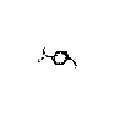 COc1ccc(P(C)Br)cc1